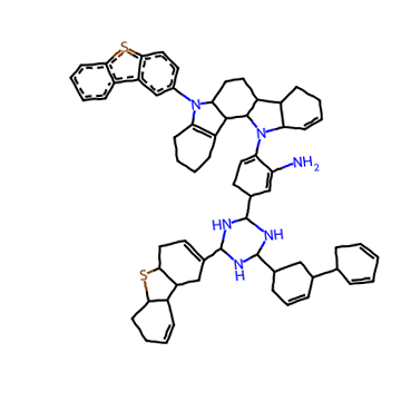 NC1=CC(C2NC(C3=CCC4SC5CCC=CC5C4C3)NC(C3CC=CC(C4C=CC=CC4)C3)N2)CC=C1N1C2C=CCCC2C2CCC3C(C4=C(CCCC4)N3c3ccc4sc5ccccc5c4c3)C21